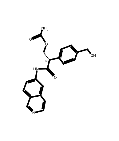 NC(=O)OC[C@@H](C(=O)Nc1ccc2cnccc2c1)c1ccc(CO)cc1